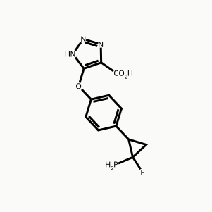 O=C(O)c1nn[nH]c1Oc1ccc(C2CC2(F)P)cc1